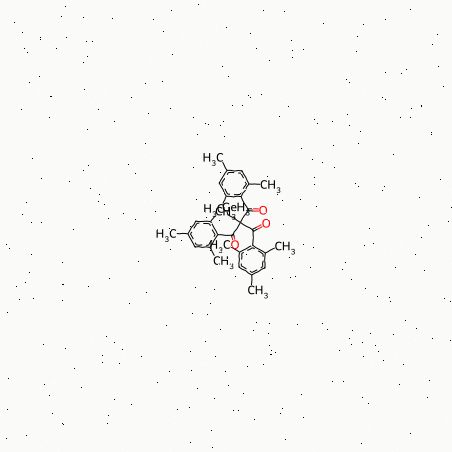 Cc1cc(C)c(C(=O)C([CH2][GeH3])(C(=O)c2c(C)cc(C)cc2C)C(=O)c2c(C)cc(C)cc2C)c(C)c1